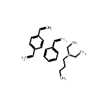 C=Cc1ccc(C=C)cc1.C=Cc1ccccc1.CCCC[Si](CC)CC